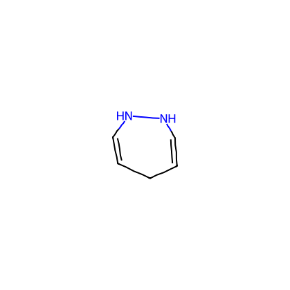 C1=CNNC=CC1